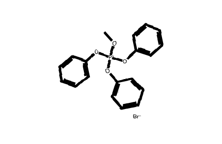 CO[P+](Oc1ccccc1)(Oc1ccccc1)Oc1ccccc1.[Br-]